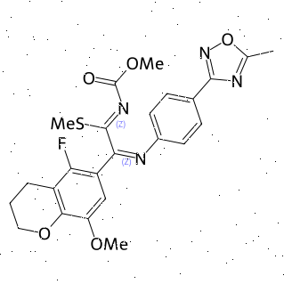 COC(=O)/N=C(SC)/C(=N\c1ccc(-c2noc(C)n2)cc1)c1cc(OC)c2c(c1F)CCCO2